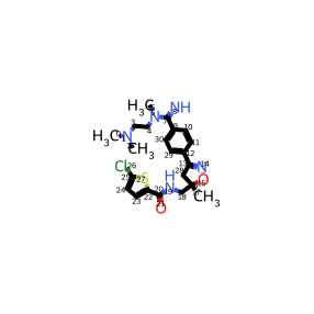 CN(C)CCN(C)C(=N)c1ccc(C2=NOC(C)(CNC(=O)c3ccc(Cl)s3)C2)cc1